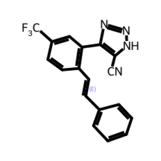 N#Cc1[nH]nnc1-c1cc(C(F)(F)F)ccc1/C=C/c1ccccc1